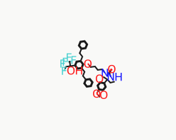 CCC1(c2ccc3c(c2)OCO3)NC(=O)N(CCCCOc2c(CCc3ccccc3)cc(C(O)(C(F)F)C(F)(F)F)cc2CCc2ccccc2)C1=O